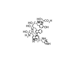 NC(CO)C(=O)O.NC(Cc1c[nH]c2ccccc12)C(=O)O.NC(Cc1c[nH]c2ccccc12)C(=O)O.NC(Cc1c[nH]cn1)C(=O)O.NC(Cc1ccc(O)cc1)C(=O)O